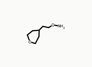 NOCCC1CCOCC1